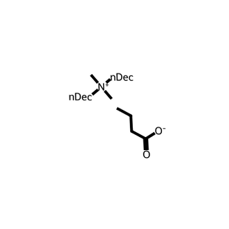 CCCC(=O)[O-].CCCCCCCCCC[N+](C)(C)CCCCCCCCCC